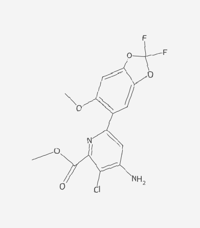 COC(=O)c1nc(-c2cc3c(cc2OC)OC(F)(F)O3)cc(N)c1Cl